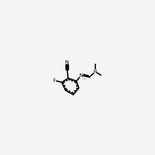 CN(C)/C=N/c1cccc(F)c1C#N